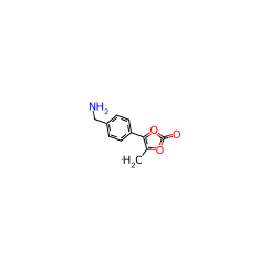 [CH2]c1oc(=O)oc1-c1ccc(CN)cc1